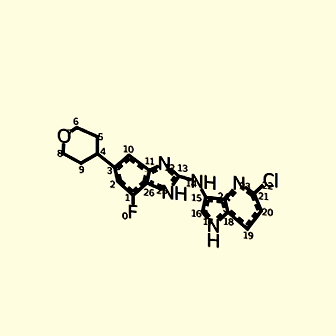 Fc1cc(C2CCOCC2)cc2nc(Nc3c[nH]c4ccc(Cl)nc34)[nH]c12